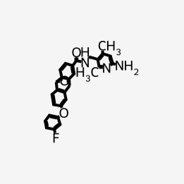 Cc1cc(N)nc(C)c1CNC(=O)c1ccc2c(c1)c1oc2c2ccc(Oc3cccc(F)c3)cc21